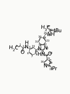 C=CC(=O)Nc1cccc(-n2c(NC(=O)c3cnc(C(C)C)s3)nc3cc(CN[C@@H](C)C(C)(C)C)ccc32)c1